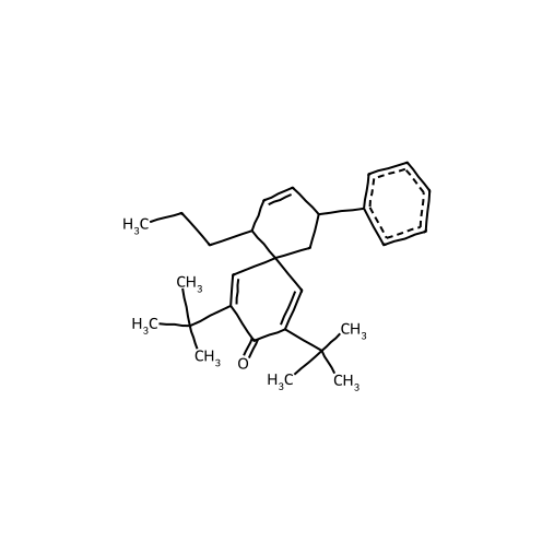 CCCC1C=CC(c2ccccc2)CC12C=C(C(C)(C)C)C(=O)C(C(C)(C)C)=C2